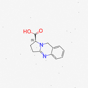 O=C(O)[C@@H]1CCC2=Nc3ccccc3CN21